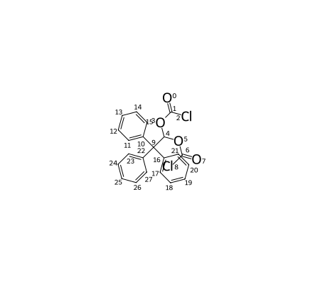 O=C(Cl)OC(OC(=O)Cl)C(c1ccccc1)(c1ccccc1)c1ccccc1